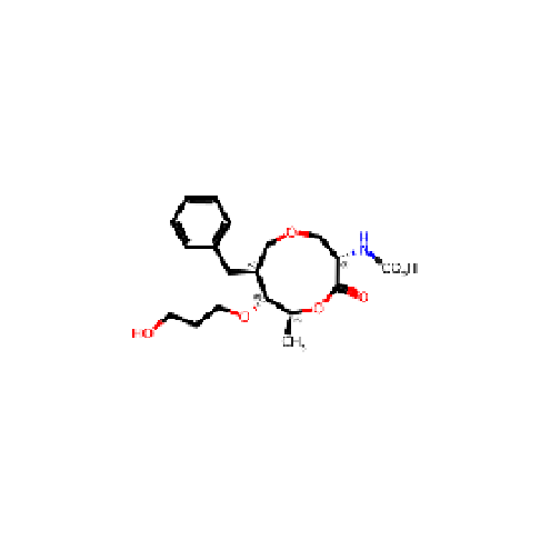 C[C@@H]1OC(=O)[C@@H](NC(=O)O)COC[C@H](Cc2ccccc2)[C@H]1OCCCO